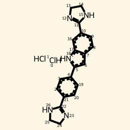 Cl.Cl.c1cc(-c2cc3ccc(C4=NCCN4)cc3[nH]2)ccc1C1=NCCN1